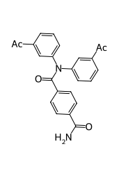 CC(=O)c1cccc(N(C(=O)c2ccc(C(N)=O)cc2)c2cccc(C(C)=O)c2)c1